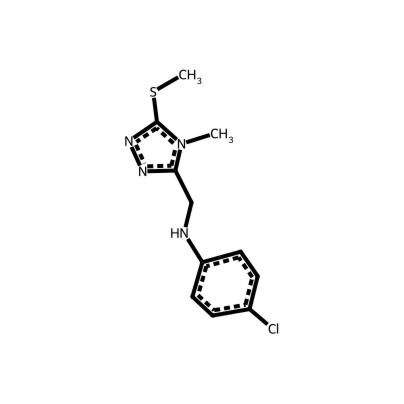 CSc1nnc(CNc2ccc(Cl)cc2)n1C